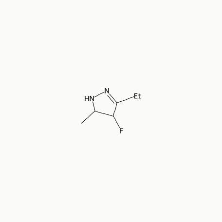 CCC1=NNC(C)C1F